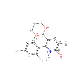 CCn1c(-c2c(F)cc(F)cc2F)c(C2OCCCO2)cc(Cl)c1=O